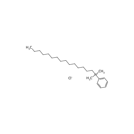 CCCCCCCCCCCCCCC[N+](C)(C)c1ccccc1.[Cl-]